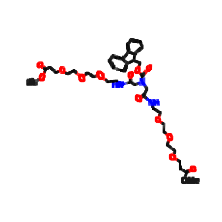 COC(=O)CCOCCOCCOCCNC(=O)CN(CC(=O)NCCOCCOCCOCCC(=O)OC(C)(C)C)C(=O)OCC1c2ccccc2-c2ccccc21